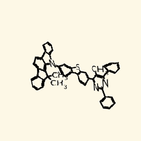 Cc1c(-c2ccccc2)nc(-c2ccccc2)nc1-c1ccc2c(c1)sc1cc(-n3c4ccccc4c4ccc5c(c43)C(C)(C)c3ccccc3-5)ccc12